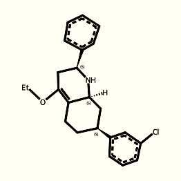 CCOC1=C2CC[C@H](c3cccc(Cl)c3)C[C@@H]2N[C@H](c2ccccc2)C1